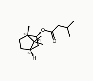 CC(C)CC(=O)O[C@H]1C[C@@H]2CC[C@@]1(C)C2(C)C